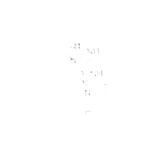 O=C(NC(C(=O)N1CC2(COC2)C1)C1CC1)c1c[nH]c2ncc(C3CC3)nc12